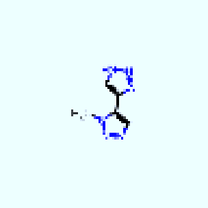 Cn1nn[c]c1-c1c[nH]nn1